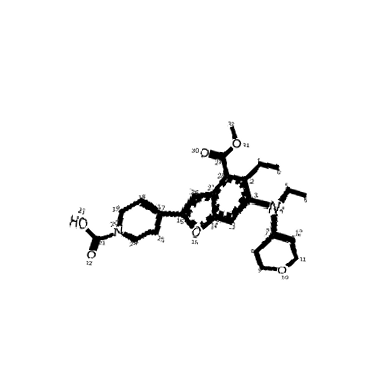 CCc1c(N(CC)C2CCOCC2)cc2oc(C3=CCN(C(=O)O)CC3)cc2c1C(=O)OC